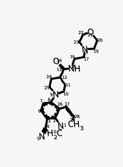 C=Nc1c(C#N)ccc(N2CCC(C(=O)NCCN3CCOCC3)CC2)c1/C=C\C